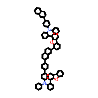 c1ccc(N(c2ccc(-c3ccc(-c4ccc5ccc(-c6cccc7c6oc6c(-c8ccccc8N(c8ccccc8)c8ccc(-c9ccc%10ccccc%10c9)cc8)cccc67)cc5c4)cc3)cc2)c2ccccc2-c2cccc3c2oc2ccccc23)cc1